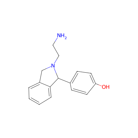 NCCN1Cc2ccccc2C1c1ccc(O)cc1